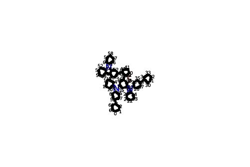 c1ccc(-c2ccc(N(c3ccccc3)c3cc(N(c4ccccc4)c4ccc(-c5ccccc5)cc4)c4sc5cccc(-c6ccc7c8ccccc8n(-c8ccccc8)c7c6)c5c4c3)cc2)cc1